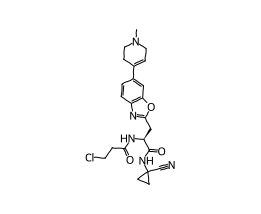 CN1CC=C(c2ccc3nc(C[C@H](NC(=O)CCCl)C(=O)NC4(C#N)CC4)oc3c2)CC1